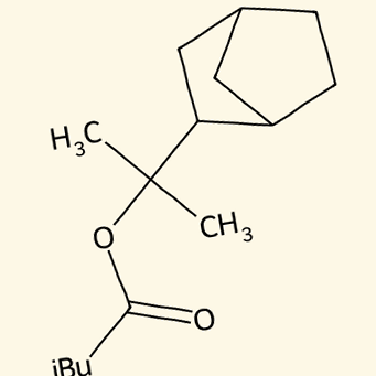 CCC(C)C(=O)OC(C)(C)C1CC2CCC1C2